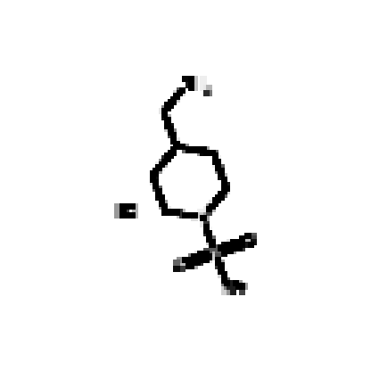 CCCS(=O)(=O)N1CCC(CN)CC1.Cl